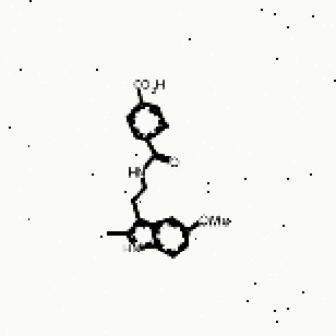 COc1ccc2[nH]c(C)c(CCNC(=O)c3ccc(C(=O)O)cc3)c2c1